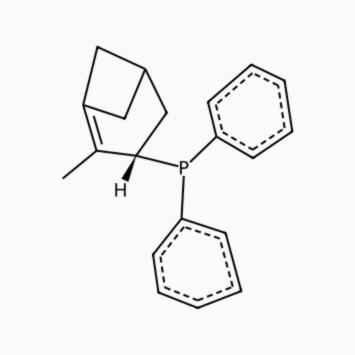 CC1=C2CC(C2)C[C@@H]1P(c1ccccc1)c1ccccc1